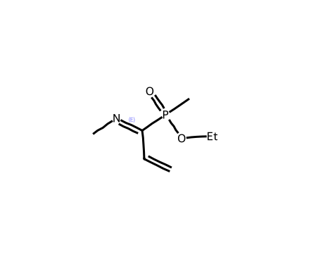 C=C/C(=N\C)P(C)(=O)OCC